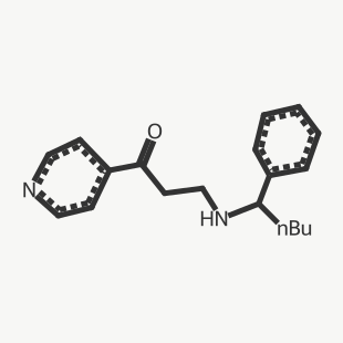 CCCCC(NCCC(=O)c1ccncc1)c1ccccc1